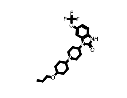 CCCOC1CCC(N2CCC(n3c(=O)[nH]c4ccc(OC(F)(F)F)cc43)CC2)CC1